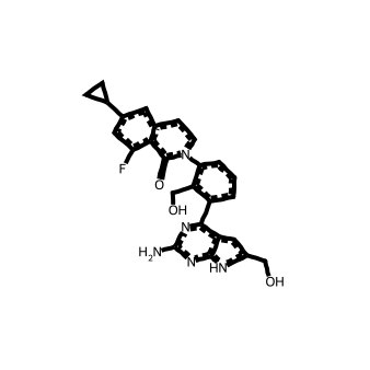 Nc1nc(-c2cccc(-n3ccc4cc(C5CC5)cc(F)c4c3=O)c2CO)c2cc(CO)[nH]c2n1